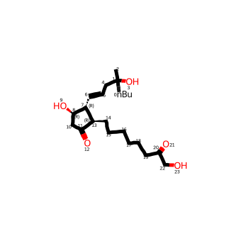 CCCCC(C)(O)CC=C[C@H]1[C@H](O)CC(=O)[C@@H]1CCCCCCC(=O)CO